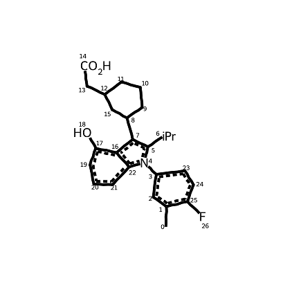 Cc1cc(-n2c(C(C)C)c(C3CCCC(CC(=O)O)C3)c3c(O)cccc32)ccc1F